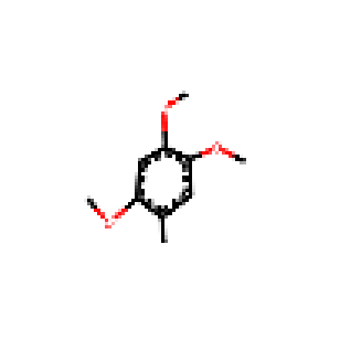 COc1cc(OC)c(OC)cc1C